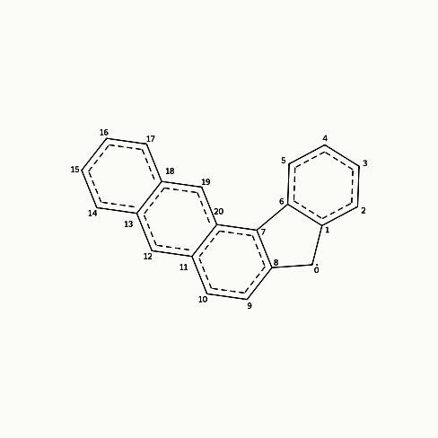 [CH]1c2ccccc2-c2c1ccc1cc3ccccc3cc21